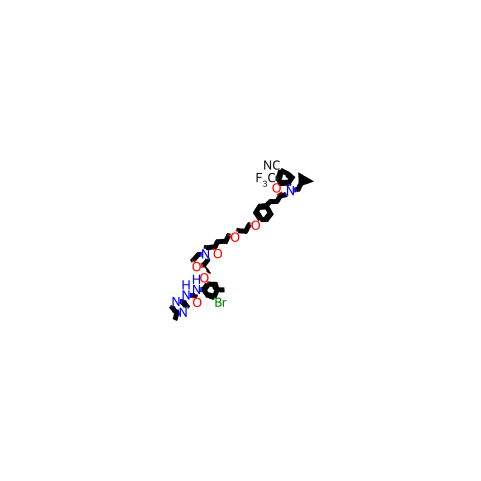 Cc1cnc(NC(=O)Nc2cc(Br)c(C)cc2OC[C@@H]2CN(CC(=O)CCCOCCCOc3ccc(CCC(=O)CN(CC4CC4)c4ccc(C#N)c(C(F)(F)F)c4)cc3)CCO2)cn1